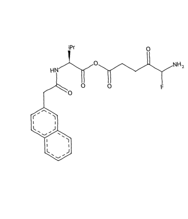 CC(C)[C@H](NC(=O)Cc1ccc2ccccc2c1)C(=O)OC(=O)CCC(=O)C(N)F